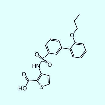 CCCOc1ccccc1-c1cccc(S(=O)(=O)Nc2ccsc2C(=O)O)c1